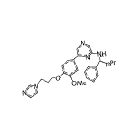 CCCC(Nc1cncc(-c2ccc(OCCCn3ccnc3)c(OC)c2)n1)c1ccccc1